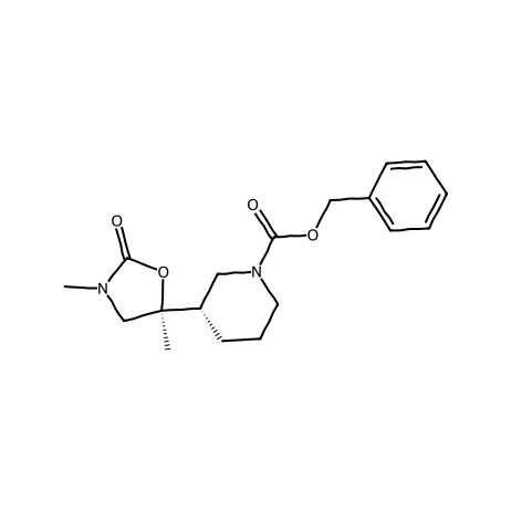 CN1C[C@](C)([C@H]2CCCN(C(=O)OCc3ccccc3)C2)OC1=O